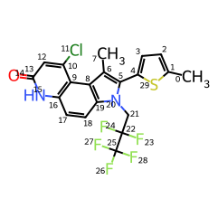 Cc1ccc(-c2c(C)c3c4c(Cl)cc(=O)[nH]c4ccc3n2CC(F)(F)C(F)(F)F)s1